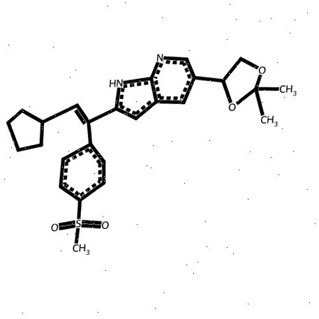 CC1(C)OCC(c2cnc3[nH]c(/C(=C/C4CCCC4)c4ccc(S(C)(=O)=O)cc4)cc3c2)O1